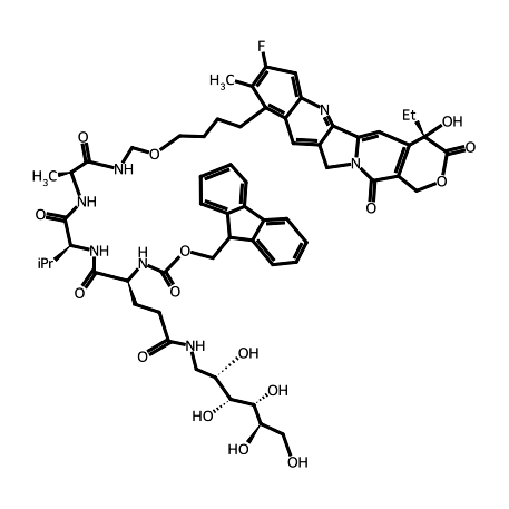 CC[C@@]1(O)C(=O)OCc2c1cc1n(c2=O)Cc2cc3c(CCCCOCNC(=O)[C@H](C)NC(=O)[C@@H](NC(=O)[C@H](CCC(=O)NC[C@H](O)[C@@H](O)[C@H](O)[C@H](O)CO)NC(=O)OCC4c5ccccc5-c5ccccc54)C(C)C)c(C)c(F)cc3nc2-1